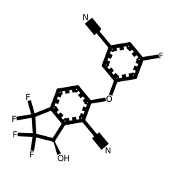 N#Cc1cc(F)cc(Oc2ccc3c(c2C#N)[C@@H](O)C(F)(F)C3(F)F)c1